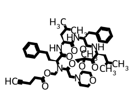 C#CCCC(=O)OCN(C(=O)CN1CCOCC1)[C@@H](CCc1ccccc1)C(=O)N[C@@H](CC(C)C)C(=O)N[C@@H](Cc1ccccc1)C(=O)N[C@@H](CC(C)C)C(=O)[C@@]1(C)CO1